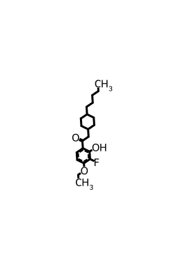 CCCCCC1CCC(CC(=O)c2ccc(OCC)c(F)c2O)CC1